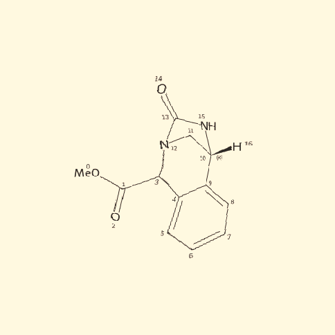 COC(=O)C1c2ccccc2[C@@H]2CN1C(=O)N2